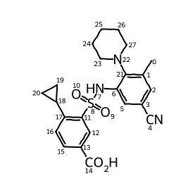 Cc1cc(C#N)cc(NS(=O)(=O)c2cc(C(=O)O)ccc2C2CC2)c1N1CCCCC1